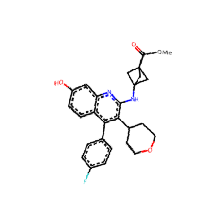 COC(=O)C12CC(Nc3nc4cc(O)ccc4c(-c4ccc(F)cc4)c3C3CCOCC3)(C1)C2